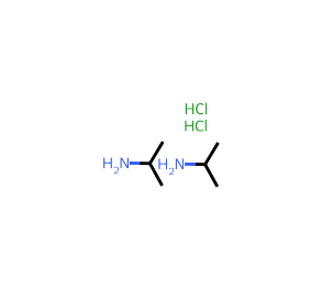 CC(C)N.CC(C)N.Cl.Cl